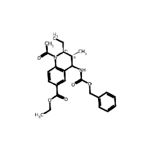 CCOC(=O)c1ccc2c(c1)C(NC(=O)OCc1ccccc1)[C@@H](C)[C@H](CC)N2C(C)=O